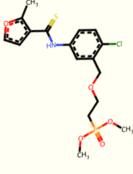 COP(=O)(CCOCc1cc(NC(=S)c2ccoc2C)ccc1Cl)OC